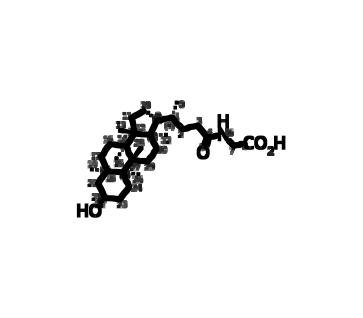 C[C@H](CCC(=O)NCC(=O)O)[C@H]1CC[C@@]2(C)[C@]3(C)CC[C@]4(C)C[C@H](O)CC[C@]4(C)[C@@]3(C)CC[C@]12C